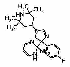 CC1(C)CC(N2C=NC(c3ccc(F)cc3)(C3(N)N=CC=CN3)C2)CC(C)(C)N1